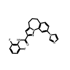 O=C(Nc1c(F)cccc1F)c1cc2n(n1)-c1cc(-n3ccnc3)ccc1CCC2